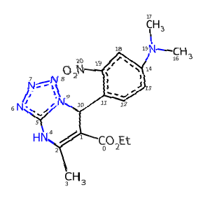 CCOC(=O)C1=C(C)Nc2nnnn2C1c1ccc(N(C)C)cc1[N+](=O)[O-]